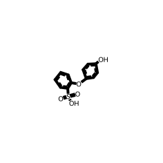 O=S(=O)(O)c1ccccc1Oc1ccc(O)cc1